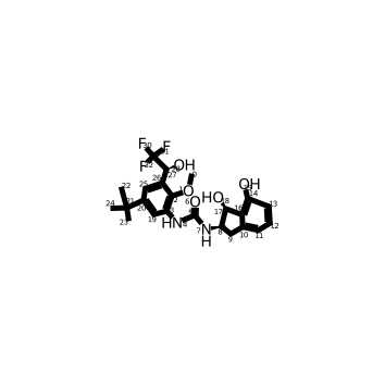 COc1c(NC(=O)N[C@@H]2Cc3cccc(O)c3[C@@H]2O)cc(C(C)(C)C)cc1[C@@H](O)C(F)(F)F